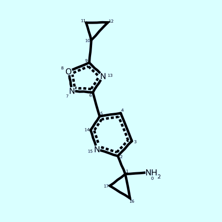 NC1(c2ccc(-c3noc(C4CC4)n3)cn2)CC1